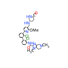 COc1nc(-c2cccc(-c3cccc(NC(=O)c4nc5c(n4C)CCN(C)C5)c3Cl)c2Cl)ccc1CN[C@H]1CCC(=C=O)NC1